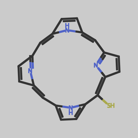 Sc1c2nc(cc3ccc(cc4nc(cc5ccc1[nH]5)C=C4)[nH]3)C=C2